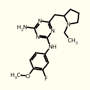 CCN1CCCC1Cc1nc(N)nc(Nc2ccc(OC)c(F)c2)n1